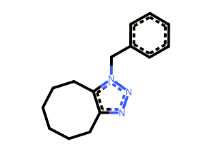 c1ccc(Cn2nnc3c2CCCCCC3)cc1